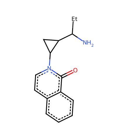 CCC(N)C1CC1n1ccc2ccccc2c1=O